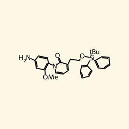 COc1cc(N)ccc1-n1cccc(CCO[Si](c2ccccc2)(c2ccccc2)C(C)(C)C)c1=O